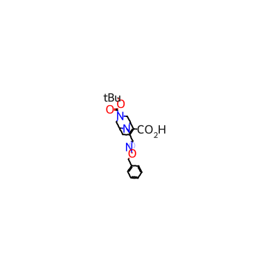 CN1C2CC(/C=N/OCc3ccccc3)=C(C(=O)O)C1CN(C(=O)OC(C)(C)C)C2